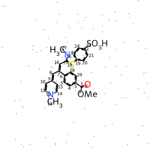 COC(=O)c1ccc(/C(C=C2C=CN(C)C=C2)=C\c2sc3ccc(S(=O)(=O)O)cc3[n+]2C)cc1